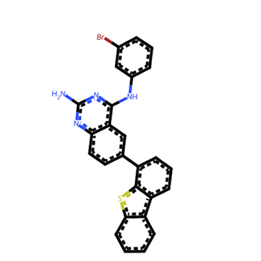 Nc1nc(Nc2cccc(Br)c2)c2cc(-c3cccc4c3sc3ccccc34)ccc2n1